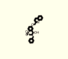 O=S1(=O)C[C@H](Cc2ccccc2)[C@@H](O)c2cc(OCc3ccc4ccccc4n3)ccc21